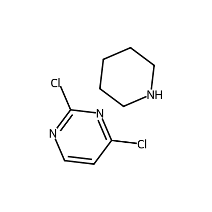 C1CCNCC1.Clc1ccnc(Cl)n1